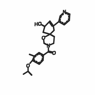 Cc1cc(C(=O)N2CCC3(CC(c4cccnc4)=CC(O)C3)OC2)ccc1OC(C)C